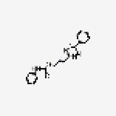 O=C(Nc1ccccc1)OC/C=C/c1nnc(-c2ccccc2)nn1